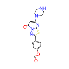 O=COc1ccc(-c2nn3c(=O)cc(N4CCNCC4)nc3s2)cc1